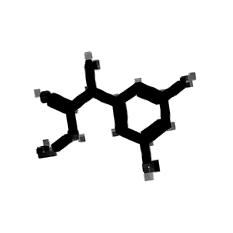 CC(=O)C(C(=O)OC(C)(C)C)c1cc(Cl)cc(C#N)c1